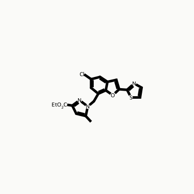 CCOC(=O)c1cc(C)n(Cc2cc(Cl)cc3cc(-c4nccs4)oc23)n1